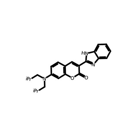 CC(C)CN(CC(C)C)c1ccc2cc(-c3nc4ccccc4[nH]3)c(=O)oc2c1